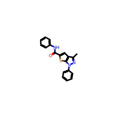 Cc1nn(-c2ccccc2)c2sc(C(=O)Nc3ccccc3)cc12